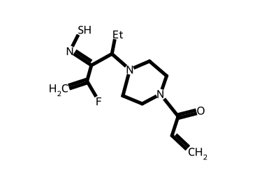 C=CC(=O)N1CCN(C(CC)/C(=N\S)C(=C)F)CC1